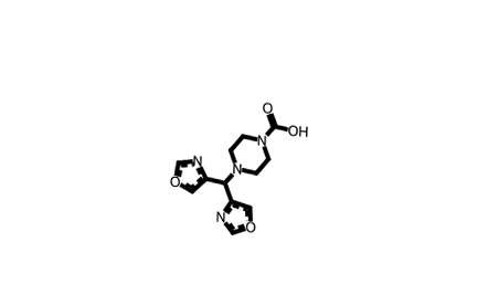 O=C(O)N1CCN(C(c2cocn2)c2cocn2)CC1